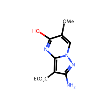 CCOC(=O)c1c(N)nn2cc(OC)c(O)nc12